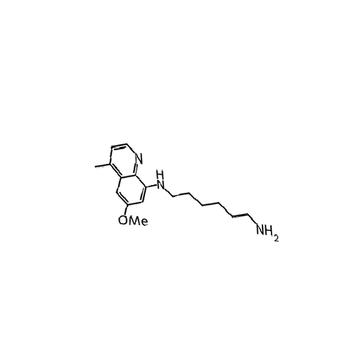 COc1cc(NCCCCCCN)c2nccc(C)c2c1